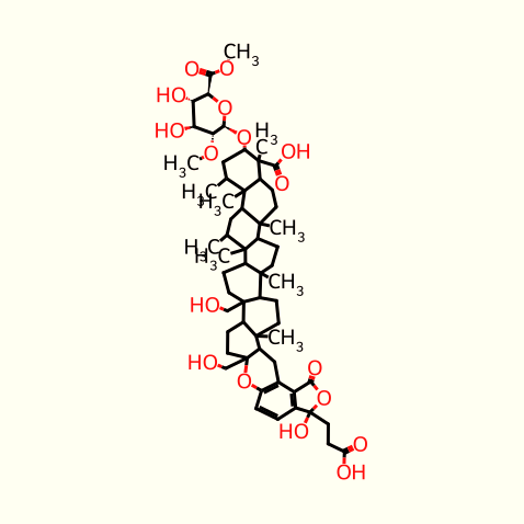 COC(=O)[C@H]1O[C@@H](OC2CC(C)C3(C)C4CC(C)C5(C)C6CCC7(CO)C8CCC9(CO)Oc%10ccc%11c(c%10CC9C8(C)CCC7C6(C)CCC5C4(C)CCC3C2(C)C(=O)O)C(=O)OC%11(O)CCC(=O)O)[C@H](OC)[C@@H](O)[C@@H]1O